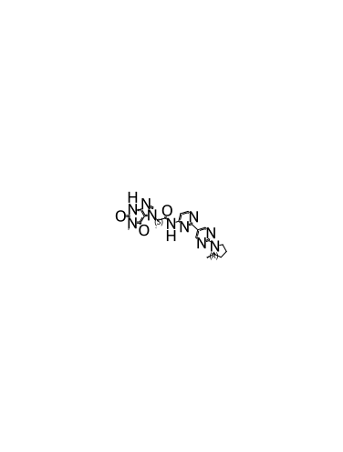 C[C@@H]1CCCN1c1ncc(-c2nccc(NC(=O)[C@H](C)n3cnc4[nH]c(=O)n(C)c(=O)c43)n2)cn1